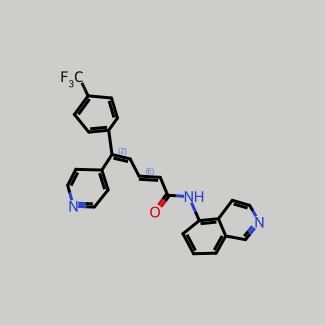 O=C(/C=C/C=C(\c1ccncc1)c1ccc(C(F)(F)F)cc1)Nc1cccc2cnccc12